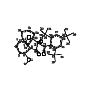 COc1cccc(Cl)c1C(=O)P(=O)(C(=O)c1c(C(C)(C)C)cc(C(C)(C)C)cc1C(C)(C)C)c1ccccc1